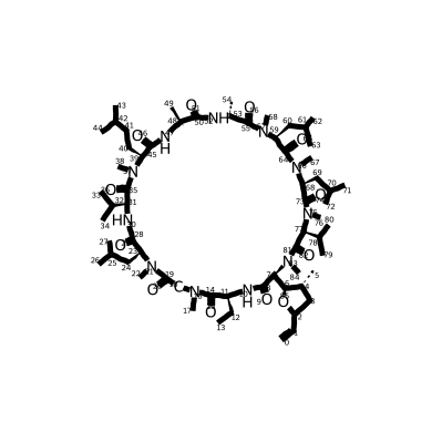 C=CC1C[C@@H](C)[C@H]([C@H]2C(=O)N[C@@H](CC)C(=O)N(C)CC(=O)N(C)[C@@H](CC(C)C)C(=O)N[C@@H](C(C)C)C(=O)N(C)[C@@H](CCC(C)C)C(=O)N[C@@H](C)C(=O)N[C@H](C)C(=O)N(C)[C@@H](CC(C)C)C(=O)N(C)[C@@H](CC(C)C)C(=O)N(C)[C@@H](C(C)C)C(=O)N2C)O1